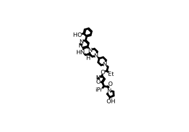 CCC(CN1CCC(N2CCN3c4cc(-c5ccccc5O)nnc4NC[C@H]3C2)CC1)Oc1cc(C(C(=O)N2CC[C@@H](O)C2)C(C)C)on1